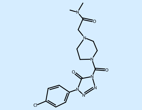 CN(C)C(=O)CN1CCN(C(=O)n2nnn(-c3ccc(Cl)cc3)c2=O)CC1